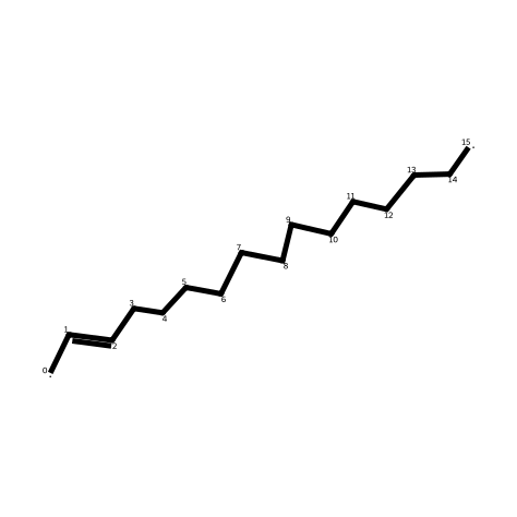 [CH2]/C=C/CCCCCCCCCCCC[CH2]